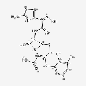 Nc1nc(/C(=N/O)C(=O)N[C@@H]2C(=O)N3C(C(=O)O)=C(Sc4cncc(F)c4F)CCC23)ns1